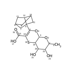 CC1OC2OC(C34CC5CC(C3)C4C5)=C(C(=O)O)SC2C(O)C1O